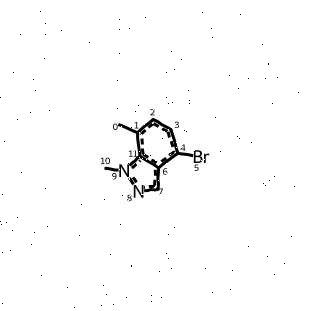 Cc1ccc(Br)c2cnn(C)c12